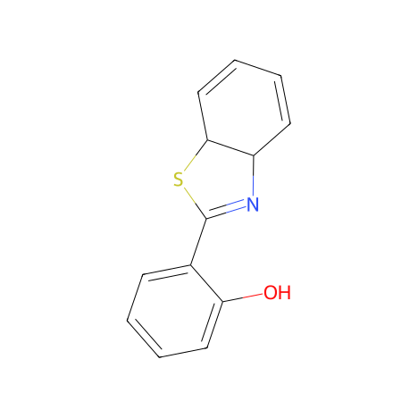 Oc1ccccc1C1=NC2C=CC=CC2S1